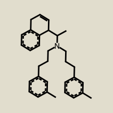 Cc1cccc(CCCN(CCCc2cccc(C)c2)C(C)C2C=CCc3ccccc32)c1